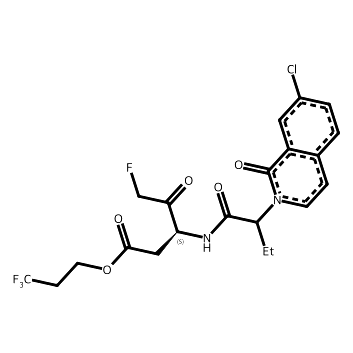 CCC(C(=O)N[C@@H](CC(=O)OCCC(F)(F)F)C(=O)CF)n1ccc2ccc(Cl)cc2c1=O